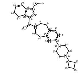 CSc1sc(C(=O)N2CCc3cnc(N4CCN(C5CCC5)CC4)nc3CC2)c2c1C=CCC2